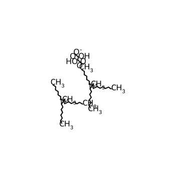 CCCCCCCC[N+](C)(CCCCCCCC)CCCCCCCC.CCCCCCCC[N+](C)(CCCCCCCC)CCCCCCCC.O=C([O-])C(O)C(O)C(=O)[O-]